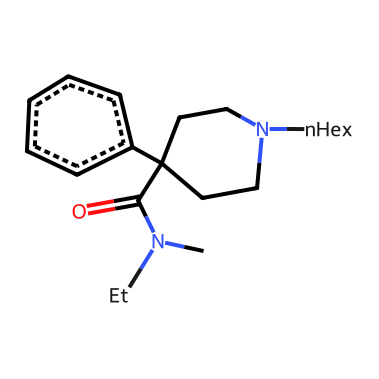 CCCCCCN1CCC(C(=O)N(C)CC)(c2ccccc2)CC1